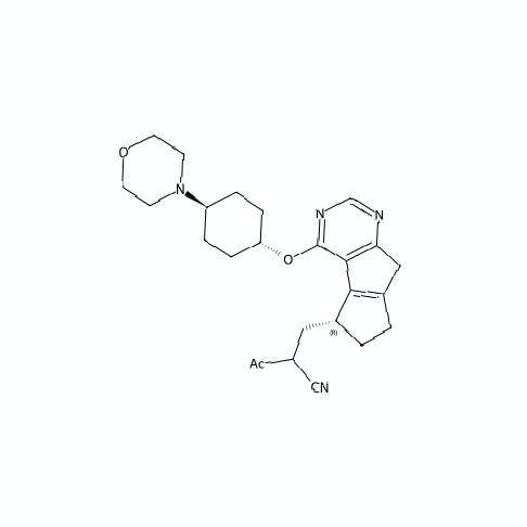 CC(=O)C(C#N)C[C@H]1CCC2=C1c1c(ncnc1O[C@H]1CC[C@H](N3CCOCC3)CC1)C2